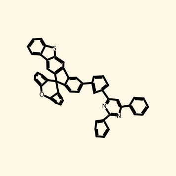 c1ccc(-c2cc(-c3cccc(-c4ccc5c(c4)-c4cc6sc7ccccc7c6cc4C54c5ccccc5Oc5ccccc54)c3)nc(-c3ccccc3)n2)cc1